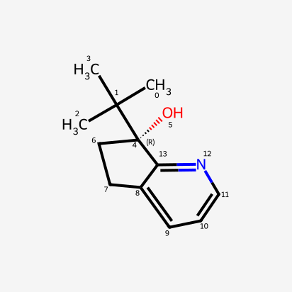 CC(C)(C)[C@]1(O)CCc2cccnc21